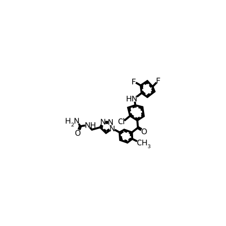 Cc1ccc(-n2cc(CNC(N)=O)nn2)cc1C(=O)c1ccc(Nc2ccc(F)cc2F)cc1Cl